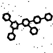 c1ccc(-c2ccc(-c3ccc(-c4nc(-c5ccccc5)nc(-c5ccccc5)n4)cc3-c3ccccc3)cc2)cc1